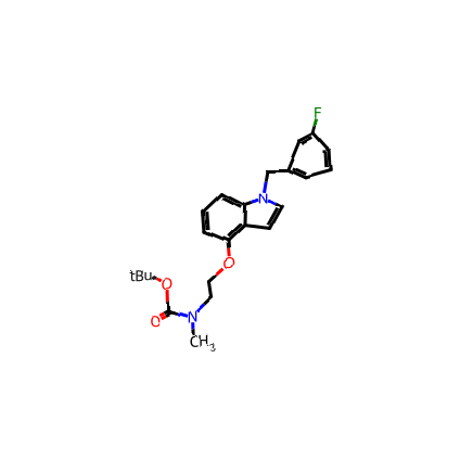 CN(CCOc1cccc2c1ccn2Cc1cccc(F)c1)C(=O)OC(C)(C)C